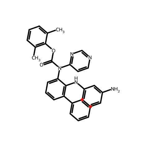 Cc1cccc(C)c1OC(=O)N(c1ccncn1)c1cccc(-c2ccccc2)c1Nc1cccc(N)c1